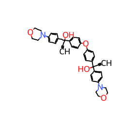 C#CC(O)(c1ccc(Oc2ccc(C(O)(C#C)c3ccc(N4CCOCC4)cc3)cc2)cc1)c1ccc(N2CCOCC2)cc1